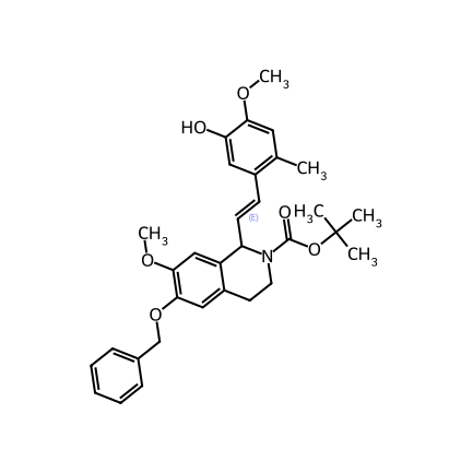 COc1cc(C)c(/C=C/C2c3cc(OC)c(OCc4ccccc4)cc3CCN2C(=O)OC(C)(C)C)cc1O